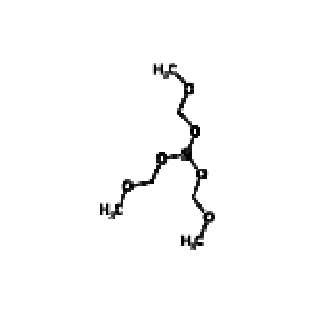 COCO[Si](OCOC)OCOC